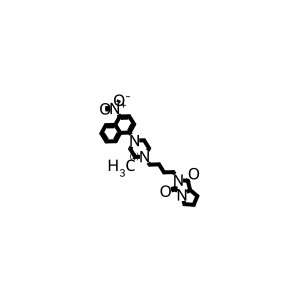 C[C@H]1CN(c2ccc([N+](=O)[O-])c3ccccc23)CCN1CCCCN1C(=O)C2CCCN2C1=O